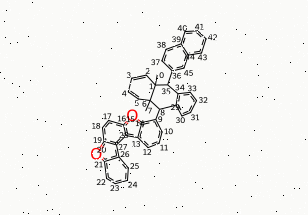 CC12C=CC=CC1(C)C(c1cccc3c1oc1ccc4oc5ccccc5c4c13)c1ccccc1C2c1ccc2ccccc2c1